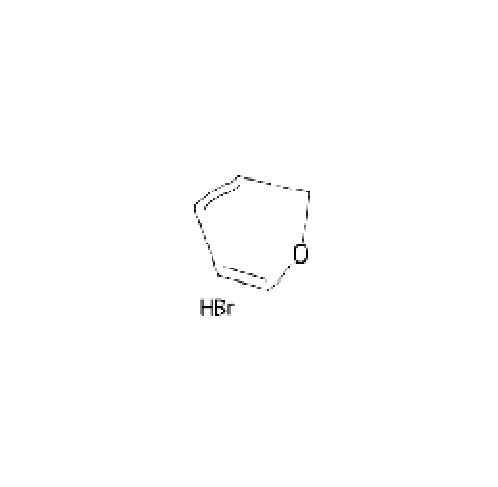 Br.C1=CCOC=C1